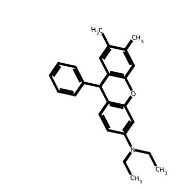 CCN(CC)c1ccc2c(c1)Oc1cc(C)c(C)cc1C2c1ccccc1